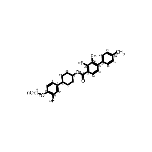 CCCCCCCCOc1ccc(C2CCC(OC(=O)c3ccc(-c4ccc(C)cc4)c(F)c3F)CC2)cc1F